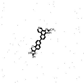 Cc1nc2c3cnccc3c3cc(-c4ccc5c6c(ccc5c4)-c4nc(C(C)C)[nH]c4CO6)ccc3c2[nH]1